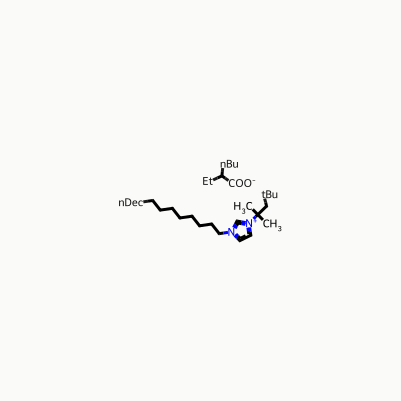 CCCCC(CC)C(=O)[O-].CCCCCCCCCCCCCCCCCCn1cc[n+](C(C)(C)CC(C)(C)C)c1